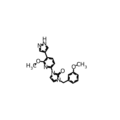 COc1cccc(Cn2ccn(-c3ccc(-c4cn[nH]c4)c(OC)n3)c2=O)c1